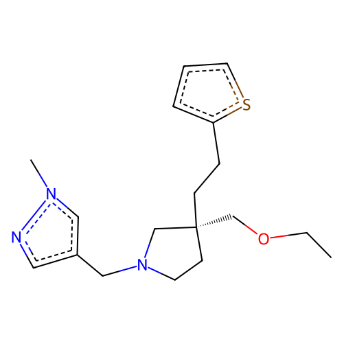 CCOC[C@]1(CCc2cccs2)CCN(Cc2cnn(C)c2)C1